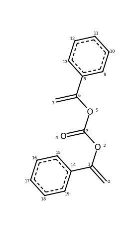 C=C(OC(=O)OC(=C)c1ccccc1)c1ccccc1